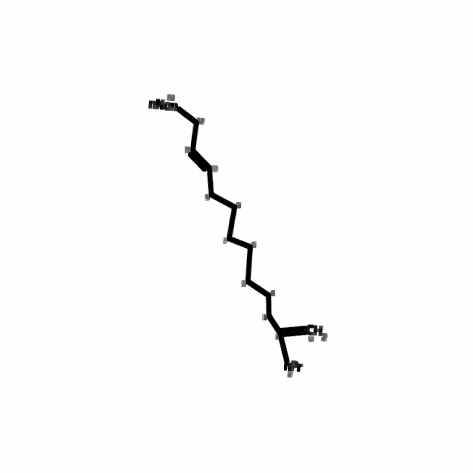 C=C(CCC)CCCCCCCC=CCCCCCCCCCC